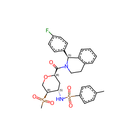 Cc1ccc(S(=O)(=O)N[C@H]2C[C@H](C(=O)N3CCc4ccccc4[C@@H]3c3ccc(F)cc3)OC[C@@H]2S(C)(=O)=O)cc1